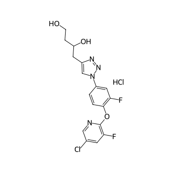 Cl.OCCC(O)Cc1cn(-c2ccc(Oc3ncc(Cl)cc3F)c(F)c2)nn1